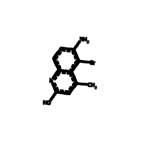 Cc1cc(O)nc2ccc(N)c(Br)c12